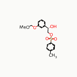 COCOc1cccc([C@H](O)COS(=O)(=O)c2ccc(C)cc2)c1